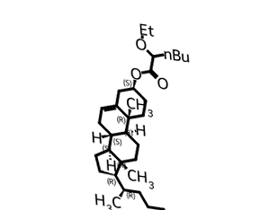 CCCCC(OCC)C(=O)O[C@H]1CC[C@@]2(C)C(=CC[C@H]3[C@@H]4CC[C@H]([C@H](C)CCCC(C)C)[C@@]4(C)CC[C@@H]32)C1